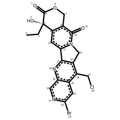 CC[C@@]1(O)C(=O)OCc2c1cc1n(c2=O)Cc2c-1nc1cnc(Br)cc1c2CCl